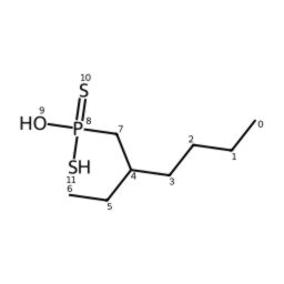 CCCCC(CC)CP(O)(=S)S